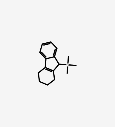 C[Si](C)(C)C1C2=C(CCCC2)c2ccccc21